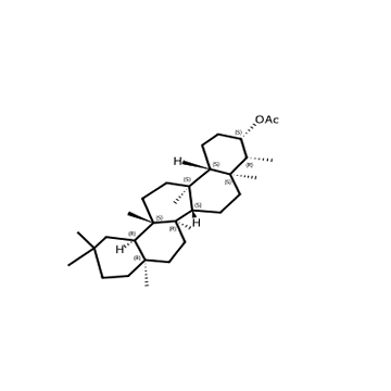 CC(=O)O[C@H]1CC[C@@H]2[C@](C)(CC[C@H]3[C@@]2(C)CC[C@@]2(C)[C@@H]4CC(C)(C)CC[C@]4(C)CC[C@]32C)[C@H]1C